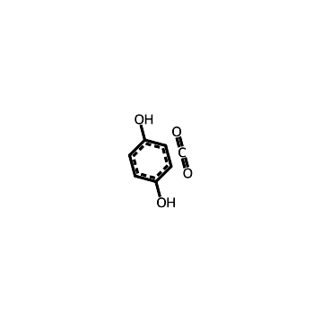 O=C=O.Oc1ccc(O)cc1